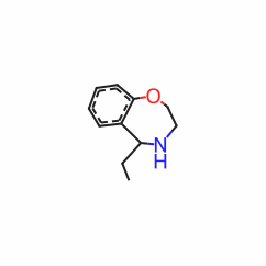 CCC1NCCOc2ccccc21